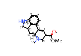 COC(=O)C1C=C2c3cccc4c3C(CN4)C[C@H]2N(C)C1